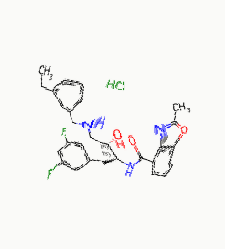 CCc1cccc(CNC[C@H](O)[C@H](Cc2cc(F)cc(F)c2)NC(=O)c2cccc3oc(C)nc23)c1.Cl